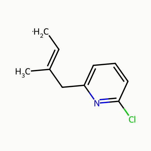 [CH2]C=C(C)Cc1cccc(Cl)n1